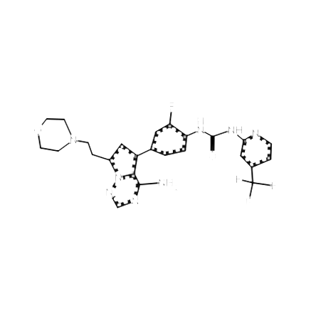 Nc1ncnn2c(CCN3CCOCC3)cc(-c3ccc(NC(=O)Nc4cc(C(F)(F)F)ccn4)c(F)c3)c12